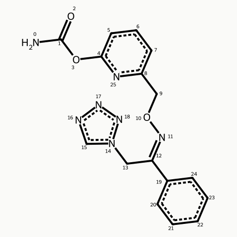 NC(=O)Oc1cccc(CON=C(Cn2cnnn2)c2ccccc2)n1